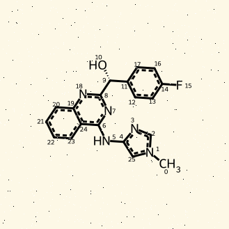 Cn1cnc(Nc2nc([C@H](O)c3ccc(F)cc3)nc3ccccc23)c1